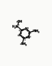 Nc1nc(N)nc([SiH2]O)n1